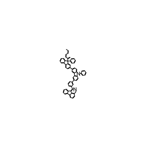 C=C(/C=C\C=C/C)C1(c2ccccc2)c2ccccc2-c2ccc(-c3ccc4c(c3)c3cc(-c5cccc(-c6ncc7cccc8c7c6-c6ccccc6-8)c5)ccc3n4-c3ccccc3)cc21